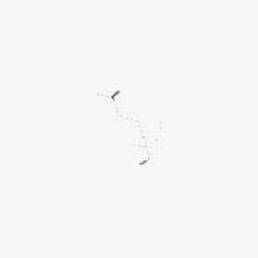 COC(S)(C=O)CCC(C)=O